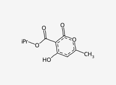 Cc1cc(O)c(C(=O)OC(C)C)c(=O)o1